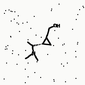 CC([C@H]1CC1CO)N(C)C